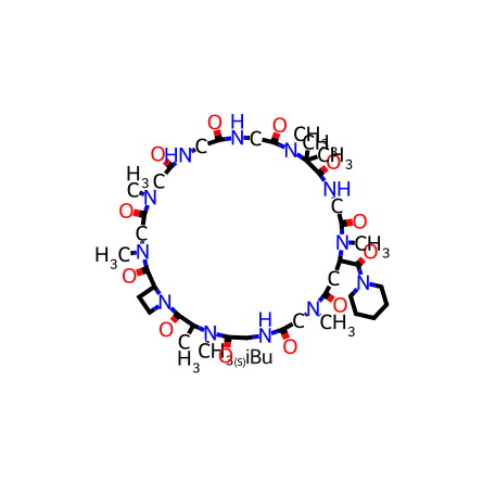 CC[C@H](C)C1NC(=O)CN(C)C(=O)CC(C(=O)N2CCCCC2)N(C)C(=O)CNC(=O)C(C)(C)N(C)C(=O)CNC(=O)CNC(=O)CN(C)C(=O)CN(C)C(=O)C2CCN2C(=O)C(C)N(C)C1=O